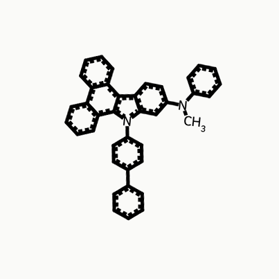 CN(c1ccccc1)c1ccc2c3c4ccccc4c4ccccc4c3n(-c3ccc(-c4ccccc4)cc3)c2c1